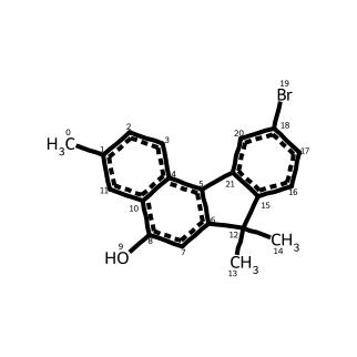 Cc1ccc2c3c(cc(O)c2c1)C(C)(C)c1ccc(Br)cc1-3